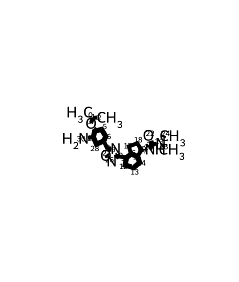 CC(C)Oc1ccc(-c2nc(-c3cccc4c3CC[C@@H]4NC(=O)N(C)C)no2)cc1N